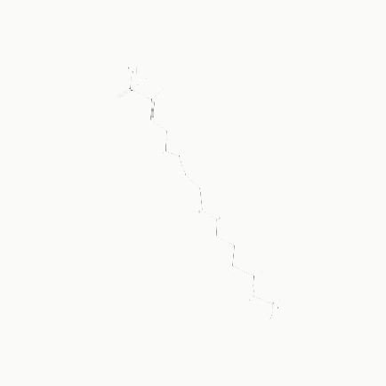 C/C(=C\CCCCCCCCCCCCN(C)C)C(N)=O